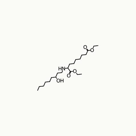 CCCCCCC(O)CCNC(CCCCCCC(=O)OCC)C(=O)OCC